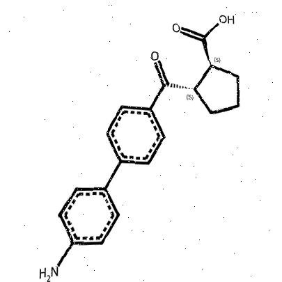 Nc1ccc(-c2ccc(C(=O)[C@H]3CCC[C@@H]3C(=O)O)cc2)cc1